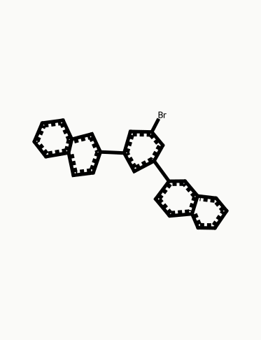 Brc1cc(-c2ccc3ccccc3c2)cc(-c2ccc3ccccc3c2)c1